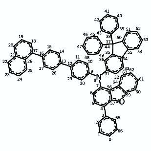 c1ccc(-c2ccc(N(c3ccc(-c4ccc(-c5cccc6ccccc56)cc4)cc3)c3ccc4c(c3)C(c3ccccc3)(c3ccccc3)c3ccccc3-4)c3c2oc2ccccc23)cc1